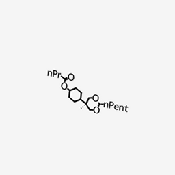 CCCCC[C@H]1OC[C@@](C)(C2CCC(OC(=O)CCC)CC2)CO1